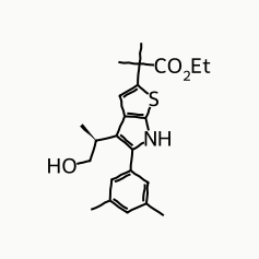 CCOC(=O)C(C)(C)c1cc2c([C@H](C)CO)c(-c3cc(C)cc(C)c3)[nH]c2s1